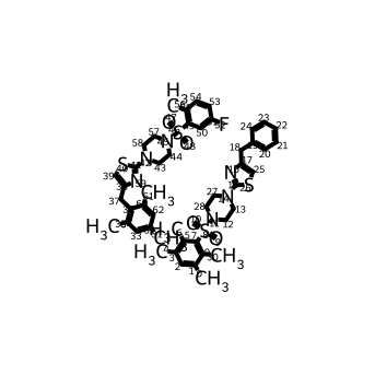 Cc1cc(C)c(C)c(S(=O)(=O)N2CCN(c3nc(Cc4ccccc4)cs3)CC2)c1C.Cc1cc(C)c(Cc2csc(N3CCN(S(=O)(=O)c4cc(F)ccc4C)CC3)n2)c(C)c1